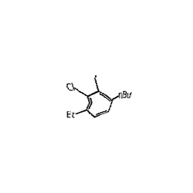 CCCCc1ccc(CC)c(Cl)c1C